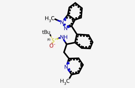 Cc1cccc(CC(N[S@@+]([O-])C(C)(C)C)c2ccccc2-c2nn(C)c3ccccc23)n1